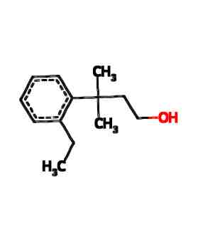 CCc1ccccc1C(C)(C)CCO